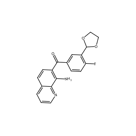 Nc1c(C(=O)c2ccc(F)c(C3OCCO3)c2)ccc2cccnc12